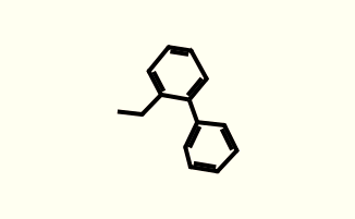 CCc1cc[c]cc1-c1ccccc1